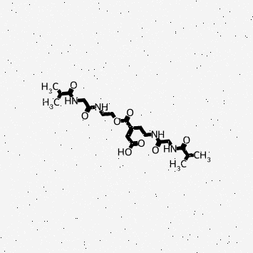 CC(C)C(=O)NCC(=O)NCCOC(=O)C(=CC(=O)O)CCNC(=O)CNC(=O)C(C)C